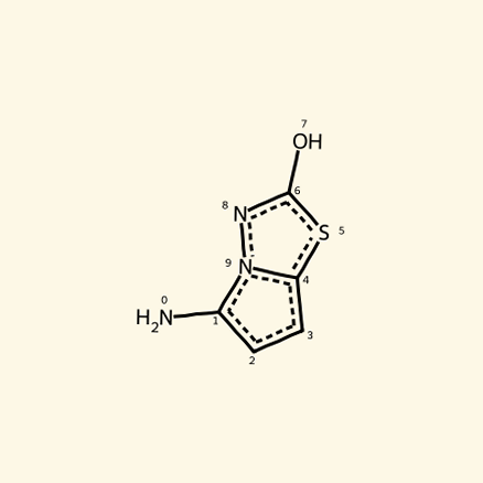 Nc1ccc2sc(O)nn12